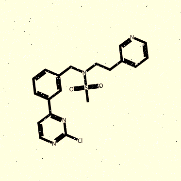 CS(=O)(=O)N(CCc1cccnc1)Cc1cccc(-c2ccnc(Cl)n2)c1